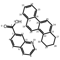 O=C(O)c1ccc2cccnc2c1.c1ccc2c(c1)ccc1c3c(ccc12)CCCC3